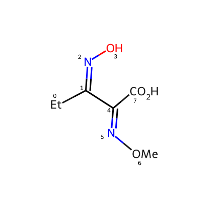 CCC(=NO)C(=NOC)C(=O)O